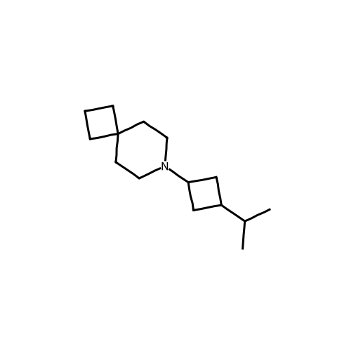 CC(C)C1CC(N2CCC3(CCC3)CC2)C1